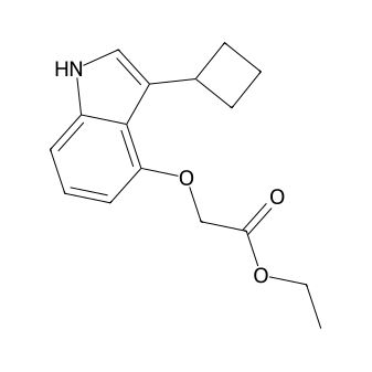 CCOC(=O)COc1cccc2[nH]cc(C3CCC3)c12